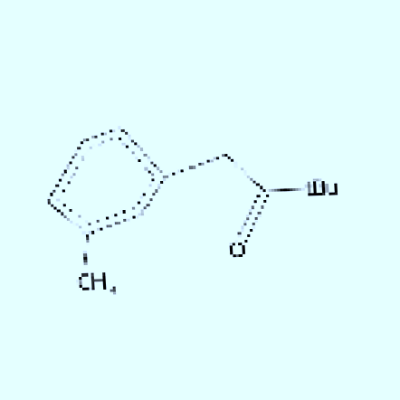 Cc1cccc(CC(=O)C(C)(C)C)c1